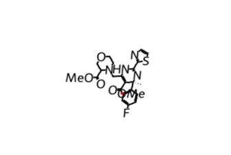 COC(=O)C1=C(CN2CCOCC2C(=O)OC)NC(c2nccs2)=N[C@@]1(C)c1ccc(F)cc1